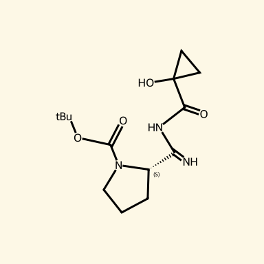 CC(C)(C)OC(=O)N1CCC[C@H]1C(=N)NC(=O)C1(O)CC1